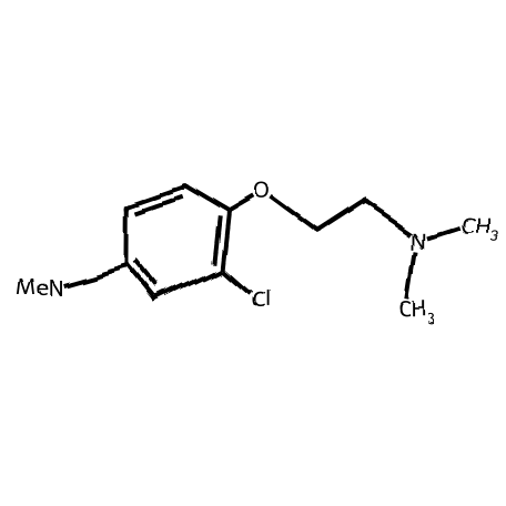 CNc1ccc(OCCN(C)C)c(Cl)c1